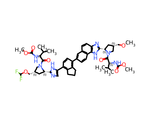 COC[C@H]1C[C@@H](c2nc3ccc4cc(-c5ccc(-c6cnc([C@@H]7C[C@H](COC(F)F)CN7C(=O)[C@@H](NC(=O)OC)C(C)C)[nH]6)c6c5CCC6)ccc4c3[nH]2)N(C(=O)[C@@H](NC(=O)OC)C(C)C)C1